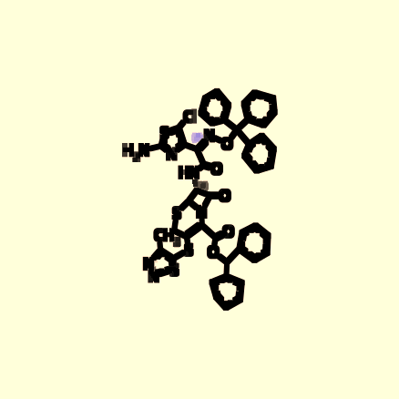 Cc1nnsc1SC1=C(C(=O)OC(c2ccccc2)c2ccccc2)N2C(=O)[C@@H](NC(=O)/C(=N\OC(c3ccccc3)(c3ccccc3)c3ccccc3)c3nc(N)sc3Cl)C2SC1